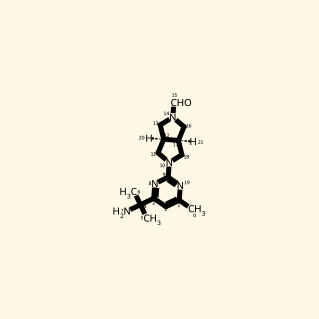 Cc1cc(C(C)(C)N)nc(N2C[C@H]3CN(C=O)C[C@H]3C2)n1